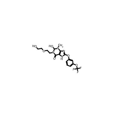 CN1c2nc(Oc3cccc(OC(F)(F)F)c3)[nH]c2C(=O)N(CCOCCO)C1O